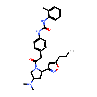 CCN(C)C1CC(c2cc(CCC(=O)O)on2)N(C(=O)Cc2ccc(NC(=O)Nc3ccccc3C)cc2)C1